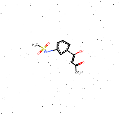 CS(=O)(=O)Nc1cccc(C(O)=CC(=O)C(=O)O)c1